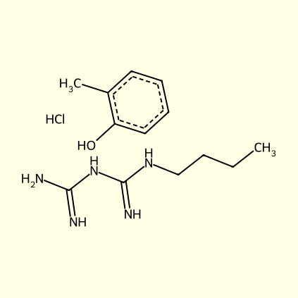 CCCCNC(=N)NC(=N)N.Cc1ccccc1O.Cl